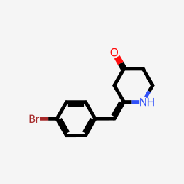 O=C1CCNC(=Cc2ccc(Br)cc2)C1